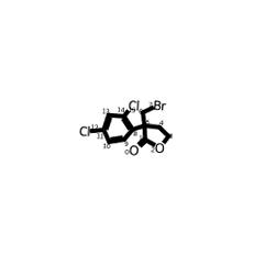 O=C1OCCC1(CBr)c1ccc(Cl)cc1Cl